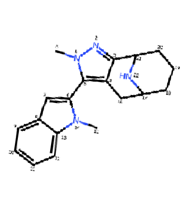 Cn1nc2c(c1-c1cc3ccccc3n1C)CC1CCCC2N1